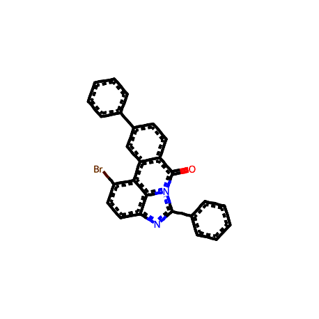 O=c1c2ccc(-c3ccccc3)cc2c2c(Br)ccc3nc(-c4ccccc4)n1c32